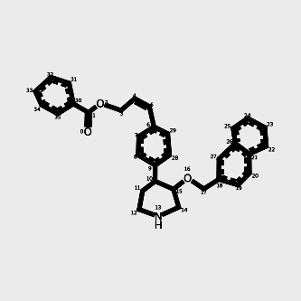 O=C(OC/C=C\c1ccc(C2CCNCC2OCc2ccc3ccccc3c2)cc1)c1ccccc1